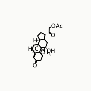 CC(=O)OCC(=O)[C@H]1CC[C@@H]2C1C[C@H](O)[C@H]1[C@@]2(C)CCC2=CC(=O)CC[C@@]21C